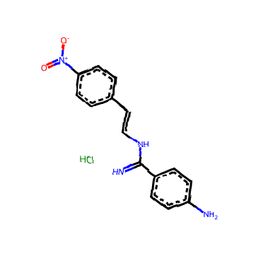 Cl.N=C(NC=Cc1ccc([N+](=O)[O-])cc1)c1ccc(N)cc1